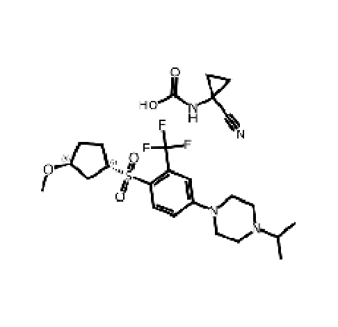 CO[C@H]1CC[C@H](S(=O)(=O)c2ccc(N3CCN(C(C)C)CC3)cc2C(F)(F)F)C1.N#CC1(NC(=O)O)CC1